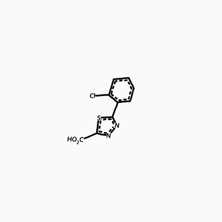 O=C(O)c1nnc(-c2ccccc2Cl)s1